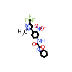 Cn1nc(C(F)(F)F)cc1-c1ccc(NC(=O)c2nc3ccccc3o2)cc1[N+](=O)[O-]